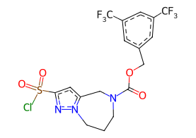 O=C(OCc1cc(C(F)(F)F)cc(C(F)(F)F)c1)N1CCCn2nc(S(=O)(=O)Cl)cc2C1